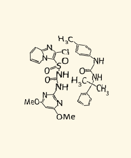 COc1cc(OC)nc(NC(=O)NS(=O)(=O)c2c(Cl)nc3ccccn23)n1.Cc1ccc(NC(=O)NC(C)(C)c2ccccc2)cc1